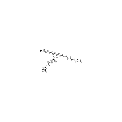 CCCCCCCCCCCC(CCCCCCC)CCC(=O)OCCCCCCC